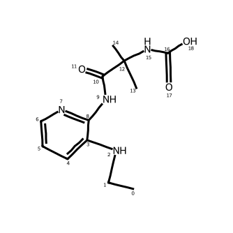 CCNc1cccnc1NC(=O)C(C)(C)NC(=O)O